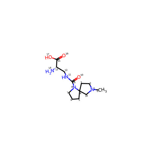 CN1CCC2(CCCN2C(=O)NC[C@H](N)C(=O)O)C1